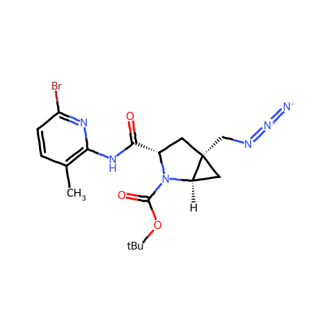 Cc1ccc(Br)nc1NC(=O)[C@@H]1C[C@@]2(CN=[N+]=[N-])C[C@H]2N1C(=O)OC(C)(C)C